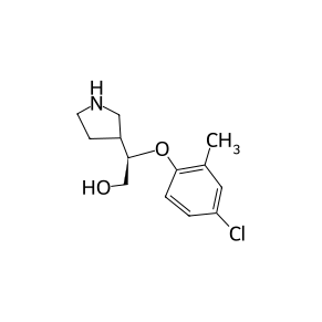 Cc1cc(Cl)ccc1O[C@@H](CO)C1CCNC1